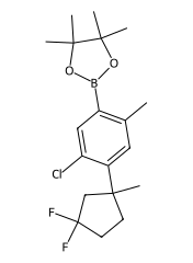 Cc1cc(C2(C)CCC(F)(F)C2)c(Cl)cc1B1OC(C)(C)C(C)(C)O1